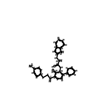 N#Cc1ccc(CCNc2cnc(-c3ccccc3)n(CC(=O)NCc3cc4cnccc4[nH]3)c2=O)cc1